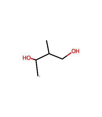 [CH2]C(O)C(C)CO